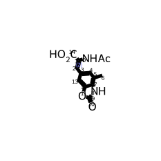 CC(=O)N/C(=C\c1cc(C)c2[nH]c(=O)oc2c1)C(=O)O